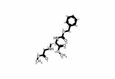 COC(=O)CNC[C@H](NC(=O)OCc1ccccc1)C(=O)OC